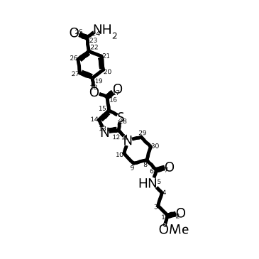 COC(=O)CCNC(=O)C1CCN(c2ncc(C(=O)Oc3ccc(C(N)=O)cc3)s2)CC1